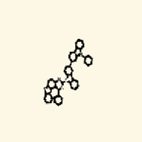 c1ccc(-c2nc(-n3c4ccccc4c4cc(-c5ccc6c7ccccc7n(-c7ccccc7)c6c5)ccc43)nc3ccc4sc5ccccc5c4c23)cc1